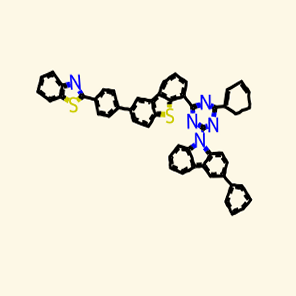 C1=CCCC(c2nc(-c3cccc4c3sc3ccc(-c5ccc(-c6nc7ccccc7s6)cc5)cc34)nc(-n3c4ccccc4c4cc(-c5ccccc5)ccc43)n2)=C1